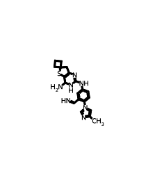 Cc1cn(-c2ccc(NC3=NC4=C(SC5(CCC5)C4)C(N)N3)cc2C=N)cn1